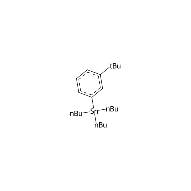 CCC[CH2][Sn]([CH2]CCC)([CH2]CCC)[c]1cccc(C(C)(C)C)c1